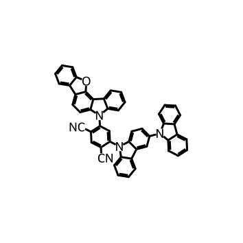 N#Cc1cc(C#N)c(-n2c3ccccc3c3c4oc5ccccc5c4ccc32)cc1-n1c2ccccc2c2cc(-n3c4ccccc4c4ccccc43)ccc21